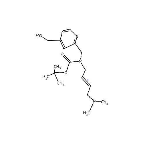 CN(C)C/C=C/CN(Cc1cc(CO)ccn1)C(=O)OC(C)(C)C